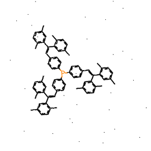 Cc1ccc(C)c(C(=Cc2ccc(P(c3ccc(C=C(c4cc(C)ccc4C)c4cc(C)ccc4C)cc3)c3ccc(C=C(c4cc(C)ccc4C)c4cc(C)ccc4C)cc3)cc2)c2cc(C)ccc2C)c1